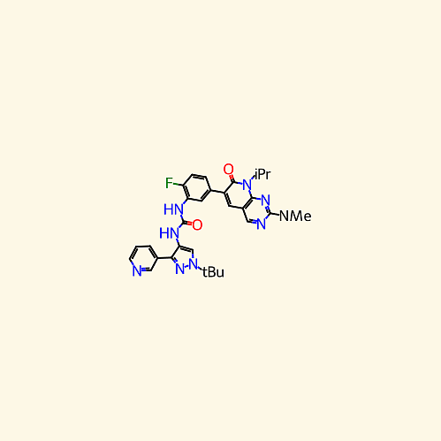 CNc1ncc2cc(-c3ccc(F)c(NC(=O)Nc4cn(C(C)(C)C)nc4-c4cccnc4)c3)c(=O)n(C(C)C)c2n1